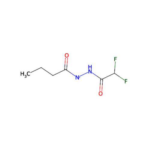 CCCC(=O)[N]NC(=O)C(F)F